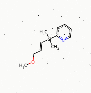 COC/C=C/[Si](C)(C)c1ccccn1